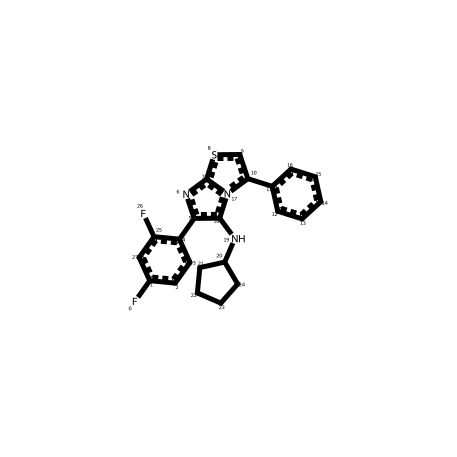 Fc1ccc(-c2nc3scc(-c4ccccc4)n3c2NC2CCCC2)c(F)c1